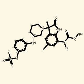 CCN(C(=O)OC(C)(C)C)c1cc(F)cc2c1NC(=O)C2(C)N1CCC[C@@H](Nc2cccc(OS(=O)(=O)F)c2)C1